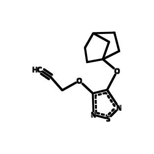 C#CCOc1nsnc1OC12CCC(CC1)C2